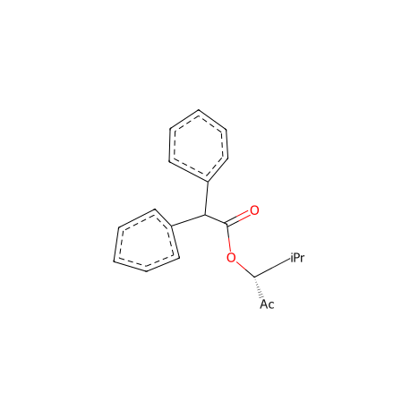 CC(=O)[C@H](OC(=O)C(c1ccccc1)c1ccccc1)C(C)C